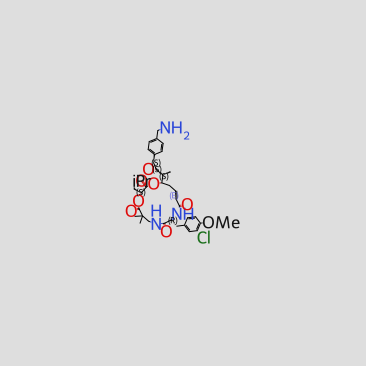 COc1ccc(C[C@H]2NC(=O)/C=C/CC([C@H](C)[C@@H]3O[C@H]3c3ccc(CN)cc3)OC(=O)[C@H](CC(C)C)OC(=O)C(C)(C)CNC2=O)cc1Cl